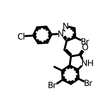 Cc1c(Br)cc(Br)c2c1C(=Cc1c(Br)cnn1-c1ccc(Cl)cc1)C(=O)N2